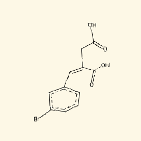 O=C(O)CC(=Cc1cccc(Br)c1)C(=O)O